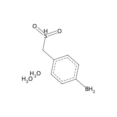 Bc1ccc(C[SH](=O)=O)cc1.O.O